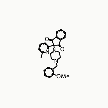 COc1ccccc1CN1CCN(C2(c3cccc(C)n3)C(=O)c3ccccc3C2=O)CC1